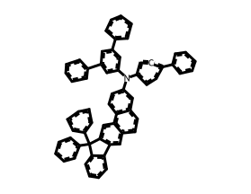 c1ccc(-c2ccc(N(c3cc(-c4ccccc4)cc(-c4ccccc4)c3)c3ccc4c(ccc5cc6c(cc54)C(c4ccccc4)(c4ccccc4)c4ccccc4-6)c3)cc2)cc1